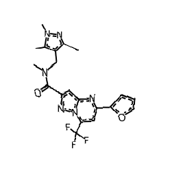 Cc1nn(C)c(C)c1CN(C)C(=O)c1cc2nc(-c3ccco3)cc(C(F)(F)F)n2n1